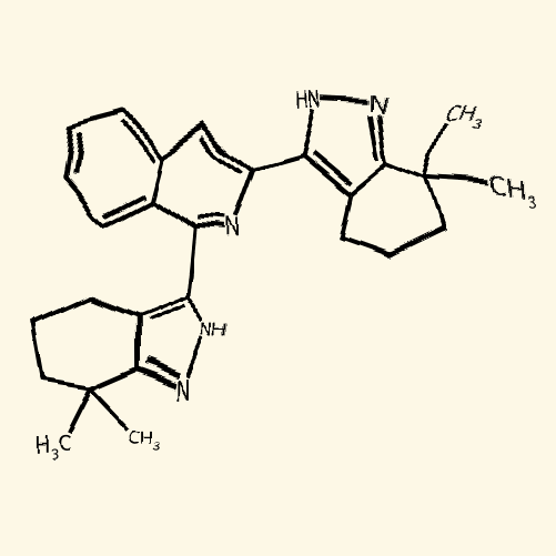 CC1(C)CCCc2c1n[nH]c2-c1cc2ccccc2c(-c2[nH]nc3c2CCCC3(C)C)n1